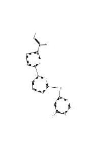 C/C(=C\C(=O)O)c1ccc(-c2cccc(Nc3cc(C)ccn3)n2)s1